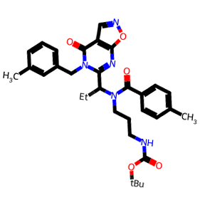 CCC(c1nc2oncc2c(=O)n1Cc1cccc(C)c1)N(CCCNC(=O)OC(C)(C)C)C(=O)c1ccc(C)cc1